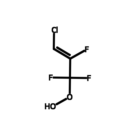 OOC(F)(F)C(F)=CCl